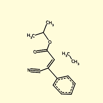 CC.CC(C)OC(=O)C=C(C#N)c1ccccc1